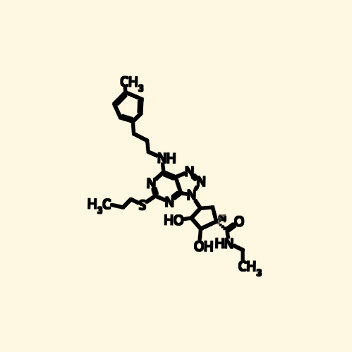 CCCSc1nc(NCCCc2ccc(C)cc2)c2nnn(C3C[C@H](C(=O)NCC)C(O)C3O)c2n1